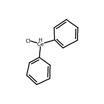 [Cl][GeH]([c]1ccccc1)[c]1ccccc1